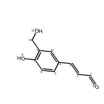 O=C/C=C/c1ccc(O)c(CO)c1